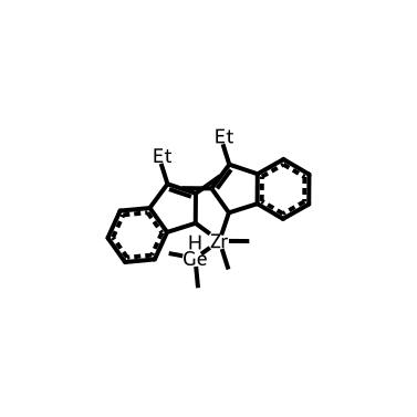 CCC1=C(C)[CH]([Zr]([CH3])([CH3])([CH]2C(C)=C(CC)c3ccccc32)[GeH]([CH3])[CH3])c2ccccc21